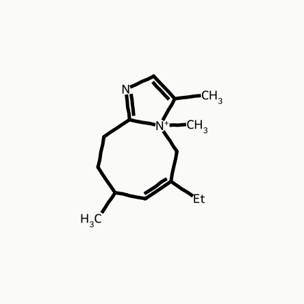 CC/C1=C/C(C)CCC2=NC=C(C)[N+]2(C)C1